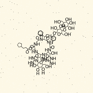 CC(c1ccccc1)C1NC(=O)CNC(=O)C(COC(=O)CCC2CCCC2)NC(=O)C(C(O)C2CNC(=N)N2C2OC(CO)C(O)C(O)C2O)NC(=O)C(C(O)C2CNC(=N)N2)NC(=O)C(Cc2ccc(OC3OC(CO)C(OC4OC(CO)C(O)C(O)C4O)C(O)C3O)cc2)NC1=O